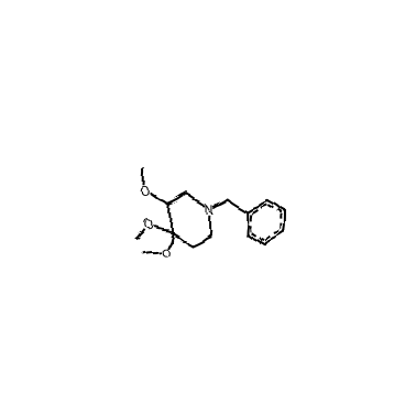 COC1CN(Cc2ccccc2)CCC1(OC)OC